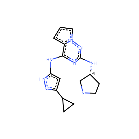 c1cc2c(Nc3cc(C4CC4)n[nH]3)nc(N[C@@H]3CCNC3)nn2c1